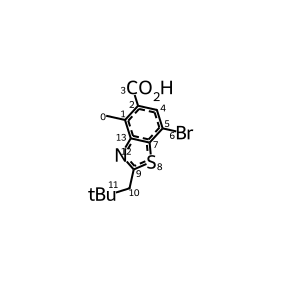 Cc1c(C(=O)O)cc(Br)c2sc(CC(C)(C)C)nc12